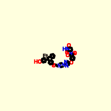 CCC(=C(c1ccc(O)cc1)c1ccc(OCCN2CCN(c3ncc(Oc4ccc5c(c4)C(=O)N(C4CCC(=O)NC4=O)C5=O)cn3)CC2)cc1)c1ccccc1